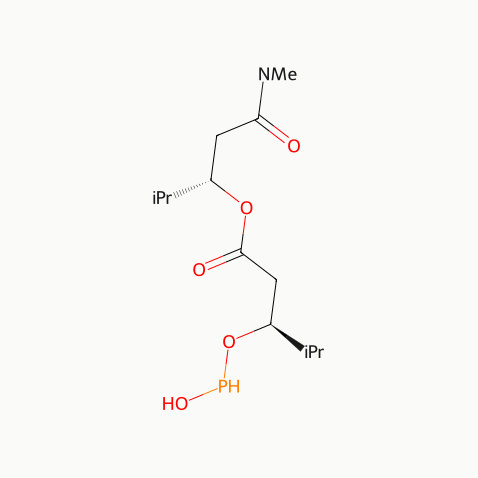 CNC(=O)C[C@H](OC(=O)C[C@H](OPO)C(C)C)C(C)C